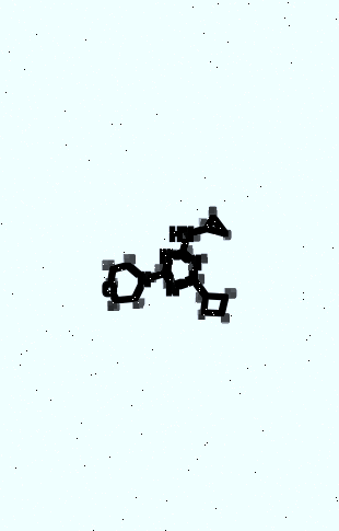 C1CC(c2nc(NC3CC3)nc(N3CCOCC3)n2)C1